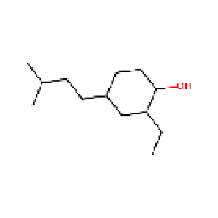 CCC1CC(CCC(C)C)CCC1O